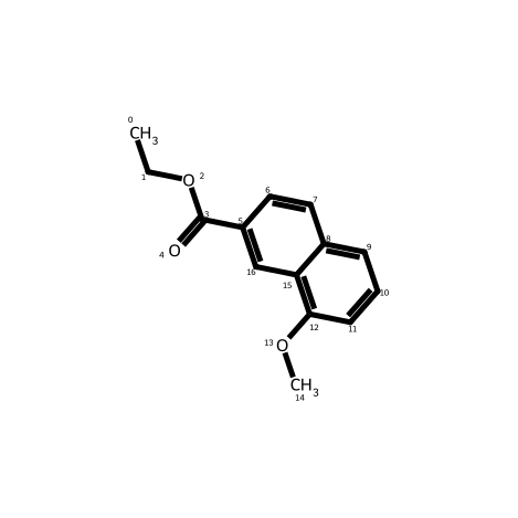 CCOC(=O)c1ccc2cccc(OC)c2c1